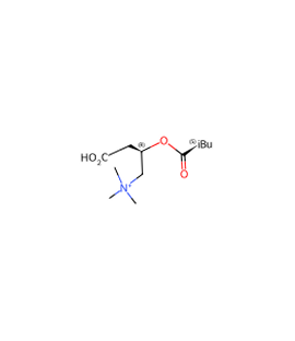 CC[C@H](C)C(=O)O[C@H](CC(=O)O)C[N+](C)(C)C